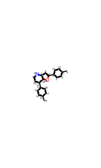 Cc1ccc(-c2cc3nccc(-c4ccc(C)cc4)c3o2)cc1